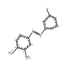 Cc1cccc(N=Nc2ccc(N)c([N+](=O)[O-])c2)c1